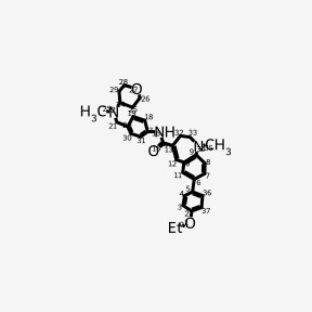 CCOc1ccc(-c2ccc3c(c2)C=C(C(=O)Nc2ccc(CN(C)C4CCOCC4)cc2)CCN3C)cc1